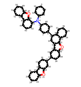 c1ccc(N(c2ccc(-c3cc4c5cc(-c6ccc7c(c6)oc6ccccc67)ccc5oc4c4ccccc34)cc2)c2cccc3c2oc2ccccc23)cc1